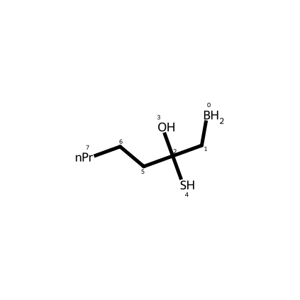 BCC(O)(S)CCCCC